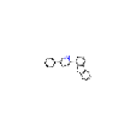 c1ccc(-c2ccc(-c3cccc4c3Cc3ccccc3-4)nc2)cc1